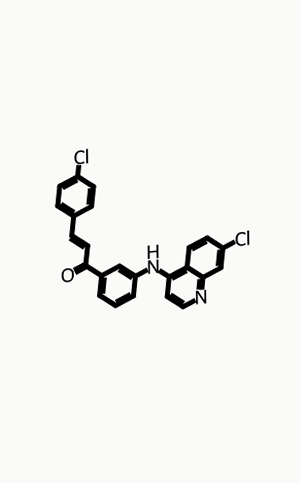 O=C(C=Cc1ccc(Cl)cc1)c1cccc(Nc2ccnc3cc(Cl)ccc23)c1